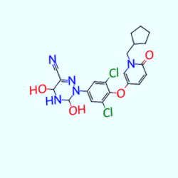 N#CC1=NN(c2cc(Cl)c(Oc3ccc(=O)n(CC4CCCC4)c3)c(Cl)c2)C(O)NC1O